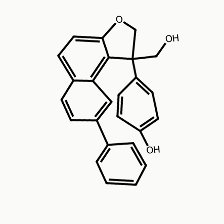 OCC1(c2ccc(O)cc2)COc2ccc3ccc(-c4ccccc4)cc3c21